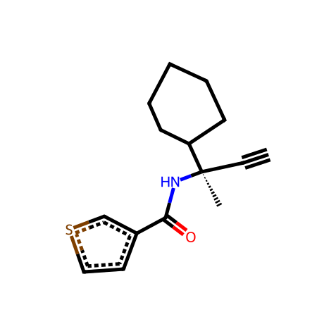 C#C[C@@](C)(NC(=O)c1ccsc1)C1CCCCC1